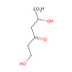 O=C(CCO)CC(O)C(=O)O